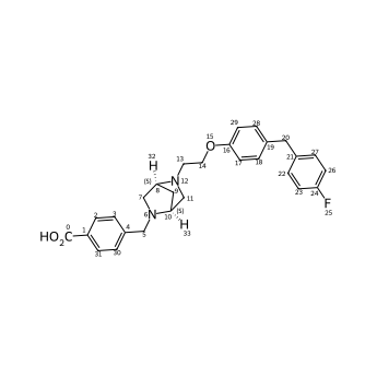 O=C(O)c1ccc(CN2C[C@@H]3C[C@H]2CN3CCOc2ccc(Cc3ccc(F)cc3)cc2)cc1